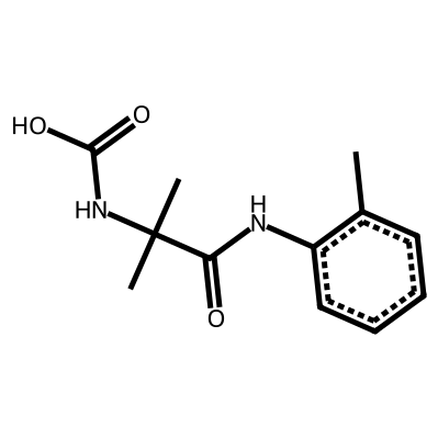 Cc1ccccc1NC(=O)C(C)(C)NC(=O)O